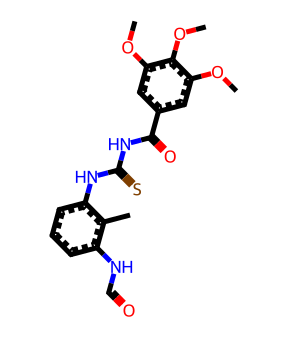 COc1cc(C(=O)NC(=S)Nc2cccc(NC=O)c2C)cc(OC)c1OC